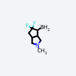 BC1C2CN(C)CC2CC1(F)F